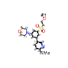 CCOCCS(=O)(=O)c1cc(-c2ccc(NC)nc2)cc(N2CCOCC2)c1